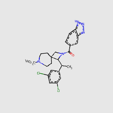 CC(c1cc(Cl)cc(Cl)c1)C1N(C(=O)c2ccc3[nH]nnc3c2)CC12CCN(C(=O)O)CC2